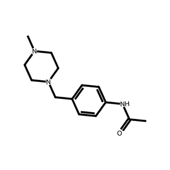 CC(=O)Nc1ccc(CN2CCN(C)CC2)cc1